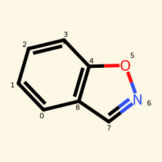 [c]1cc[c]c2oncc12